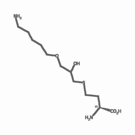 NCCCCCOCC(O)CSCC[C@H](N)C(=O)O